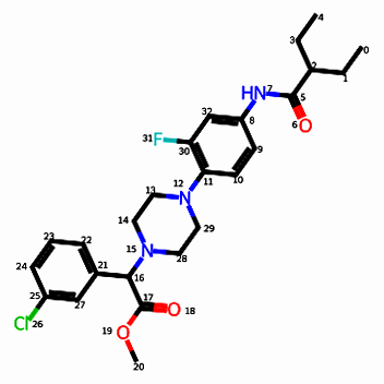 CCC(CC)C(=O)Nc1ccc(N2CCN(C(C(=O)OC)c3cccc(Cl)c3)CC2)c(F)c1